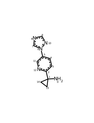 NC1(c2ccc(-n3cncn3)cn2)CC1